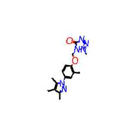 Cc1cc(-n2nc(C)c(C)c2C)ccc1OCn1c(=O)nnn1C